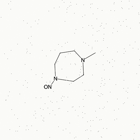 CN1CCCN(N=O)CC1